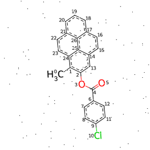 Cc1c(OC(=O)c2ccc(Cl)cc2)cc2ccc3cccc4ccc1c2c34